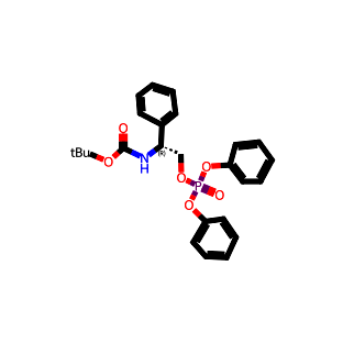 CC(C)(C)OC(=O)N[C@@H](COP(=O)(Oc1ccccc1)Oc1ccccc1)c1ccccc1